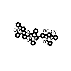 N#Cc1c(C#N)c2c3ccccc3n3c4ccccc4c(=O)n4c5cc(-c6cn7c8ccccc8c(=O)n8c(-c9cccc%10c9c(=O)c9ccc%11c%12ccccc%12n%12c(=O)c%13ccccc%13n%10c9c%11%12)cc9c%10ccccc%10c6c7c98)ccc5c1c4c23